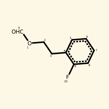 O=COCCc1ccccc1F